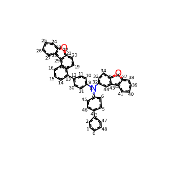 c1ccc(-c2ccc(N(c3ccc(-c4cccc5c4ccc4oc6ccccc6c45)cc3)c3ccc4oc5ccccc5c4c3)cc2)cc1